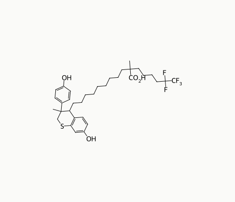 CC(CCCCCCCCCC1c2ccc(O)cc2SCC1(C)c1ccc(O)cc1)(CCCCC(F)(F)C(F)(F)F)C(=O)O